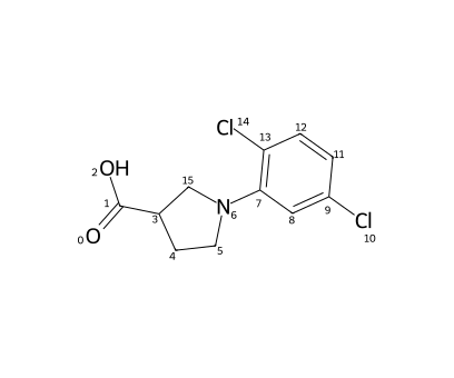 O=C(O)C1CCN(c2cc(Cl)ccc2Cl)C1